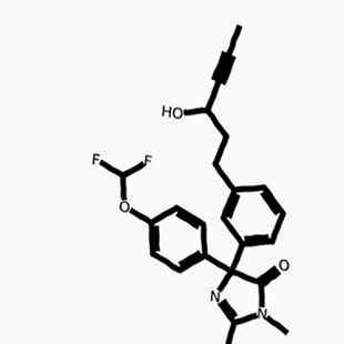 CC#CC(O)CCc1cccc(C2(c3ccc(OC(F)F)cc3)N=C(N)N(C)C2=O)c1